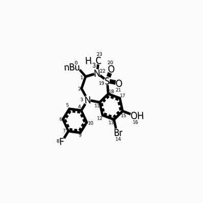 CCCCC1CN(c2ccc(F)cc2)c2cc(Br)c(O)cc2S(=O)(=O)N1C